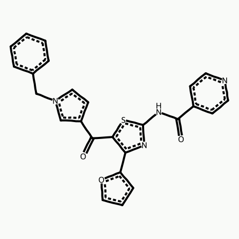 O=C(Nc1nc(-c2ccco2)c(C(=O)c2ccn(Cc3ccccc3)c2)s1)c1ccncc1